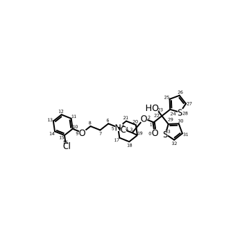 O=C(OC1C[N+]2(CCCOc3ccccc3Cl)CCC1CC2)C(O)(c1cccs1)c1cccs1